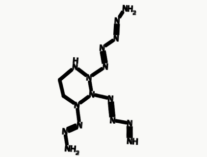 N=N/N=N/N1N(/N=N/N)CCNN1/N=N/N=N/N